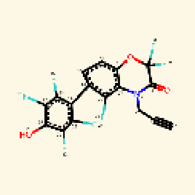 C#CCN1C(=O)C(F)(F)Oc2ccc(-c3c(F)c(F)c(O)c(F)c3F)c(F)c21